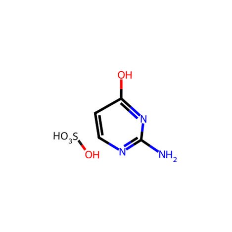 Nc1nccc(O)n1.O=S(=O)(O)O